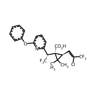 CC1(C)[C@H](C=C(Cl)C(F)(F)F)[C@]1(C(=O)O)[C@@H](c1cccc(Oc2ccccc2)n1)C(F)(F)F